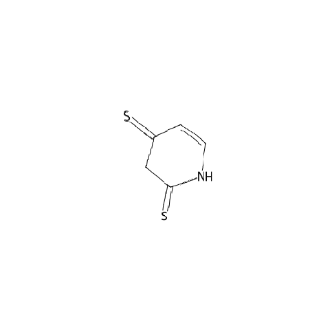 S=C1C=CNC(=S)C1